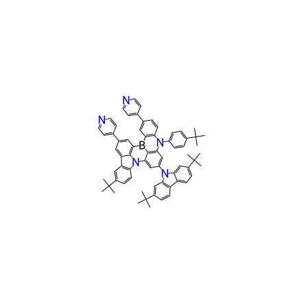 CC(C)(C)c1ccc(N2c3ccc(-c4ccncc4)cc3B3c4c2cc(-n2c5cc(C(C)(C)C)ccc5c5ccc(C(C)(C)C)cc52)cc4-n2c4ccc(C(C)(C)C)cc4c4cc(-c5ccncc5)cc3c42)cc1